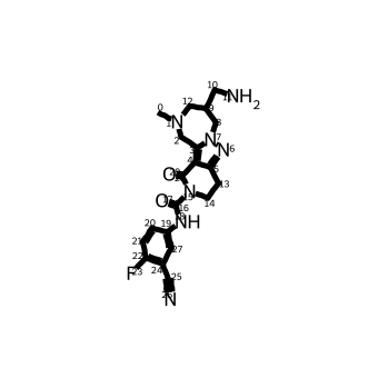 CN1Cc2c3c(nn2CC(CN)C1)CCN(C(=O)Nc1ccc(F)c(C#N)c1)C3=O